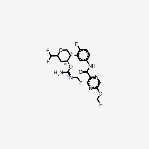 N/C(=N/CF)O[C@@H]1CC(C(F)F)OC[C@@H]1c1cc(NC(=O)c2cnc(OCF)cn2)ccc1F